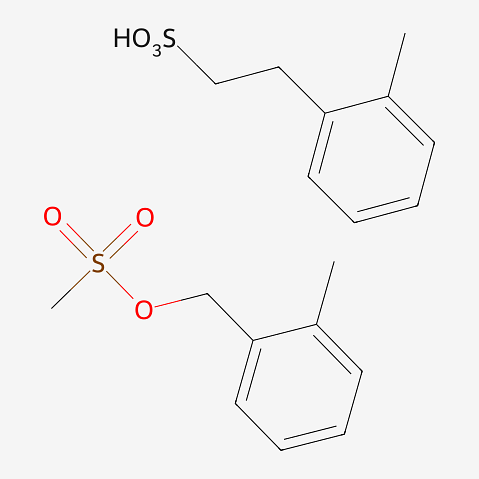 Cc1ccccc1CCS(=O)(=O)O.Cc1ccccc1COS(C)(=O)=O